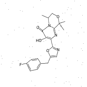 CC1COC(C)(C)c2nc(-c3ncc(Cc4ccc(F)cc4)o3)c(O)c(=O)n21